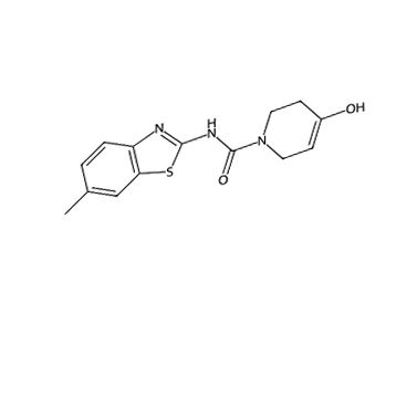 Cc1ccc2nc(NC(=O)N3CC=C(O)CC3)sc2c1